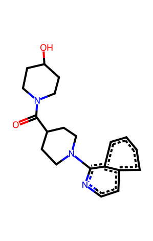 O=C(C1CCN(c2nccc3ccccc23)CC1)N1CCC(O)CC1